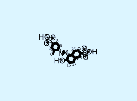 Cc1cc(S(=O)(=O)O)ccc1/N=N/c1c(O)ccc2cc(S(=O)(=O)O)ccc12